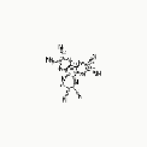 N#CC1=C(C#N)N=c2c(c3nc(C#N)c(C#N)nc3c3nc(C#N)c(C#N)nc23)=NC1